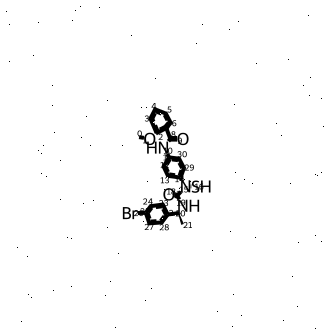 COc1ccccc1C(=O)Nc1ccc(N(S)C(=O)N[C@@H](C)c2ccc(Br)cc2)cc1